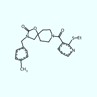 CCSc1ncccc1C(=O)N1CCC2(CC1)CN(Cc1ccc(C)cc1)C(=O)O2